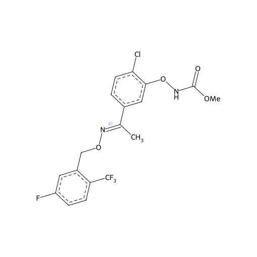 COC(=O)NOc1cc(/C(C)=N/OCc2cc(F)ccc2C(F)(F)F)ccc1Cl